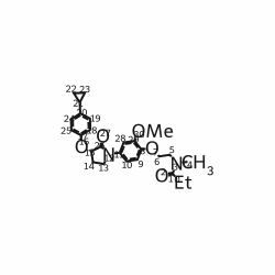 CCC(=O)N(C)CCOc1ccc(N2CC[C@H](Oc3ccc(C4CC4)cc3)C2=O)cc1OC